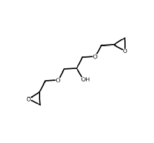 OC(COCC1CO1)COCC1CO1